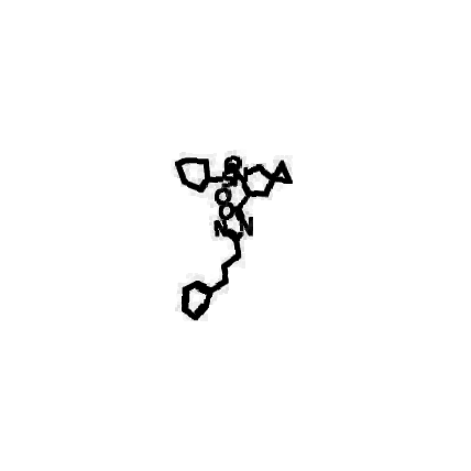 O=S(=O)(C1CCCCC1)N1CC2(CC2)C[C@H]1c1nc(CCCc2ccccc2)no1